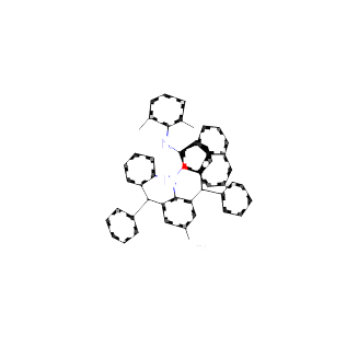 Cc1cccc(C)c1NC1c2cccc3cccc(c23)C1Nc1c(C(c2ccccc2)c2ccccc2)cc(C(C)(C)C)cc1C(c1ccccc1)c1ccccc1